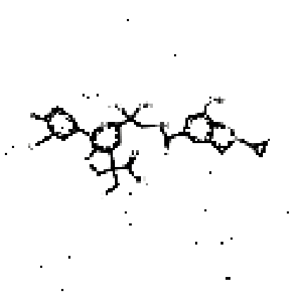 COc1cc(C(=O)NCC(O)(c2cc3c(c(-c4ccc(F)c(Cl)c4)n2)OCC3(CF)C(N)=O)C(F)(F)F)cc2cn(C3CC3)nc12